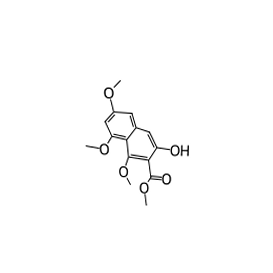 COC(=O)c1c(O)cc2cc(OC)cc(OC)c2c1OC